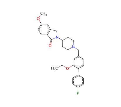 CCOc1cc(CN2CCC(N3Cc4cc(OC)ccc4C3=O)CC2)ccc1-c1ccc(F)cc1